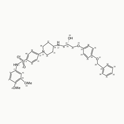 COc1ccc(NS(=O)(=O)c2ccc(N3CCC(NC[C@H](O)COc4ccc(OCc5ccccc5)cc4)CC3)cc2)cc1OC